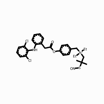 CC[N+](CC)(Cc1ccc(OC(=O)Cc2ccccc2Nc2c(Cl)cccc2Cl)cc1)CC(C)(C)SN=O